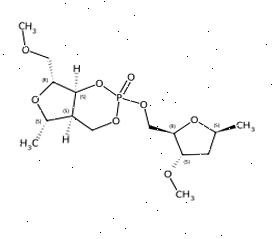 COC[C@H]1O[C@@H](C)[C@@H]2COP(=O)(OC[C@H]3O[C@@H](C)C[C@@H]3OC)O[C@@H]21